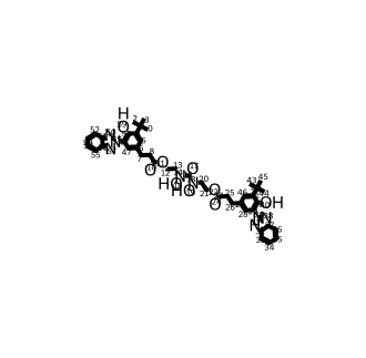 CC(C)(C)c1cc(CCC(=O)OCCN(O)C(=O)N(O)CCOC(=O)CCc2cc(-n3nc4ccccc4n3)c(O)c(C(C)(C)C)c2)cc(-n2nc3ccccc3n2)c1O